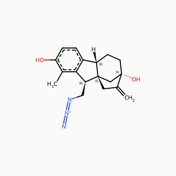 C=C1C[C@]23C[C@@]1(O)CC[C@H]2c1ccc(O)c(C)c1[C@@H]3CN=[N+]=[N-]